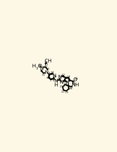 C#C[C@H]1CN(c2ccc(Nc3ncc4cc5n(c4n3)C3(CCCCC3)CNC5=O)nc2)CCN1C